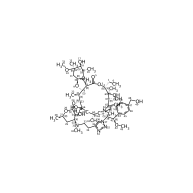 CC[C@H]1OC(=O)[C@H](C)[C@@H](O[C@H]2C[C@@](C)(OC)[C@@H](O)[C@H](C)O2)[C@H](C)[C@@H](O[C@@H]2O[C@H](C)C[C@H](N(C)CCc3cn([C@H](CF)[C@H](OC)c4ccc(CO)cc4)nn3)[C@H]2O)[C@](C)(O)C[C@@H](C)CN(C)[C@H](C)[C@@H](O)[C@]1(C)O